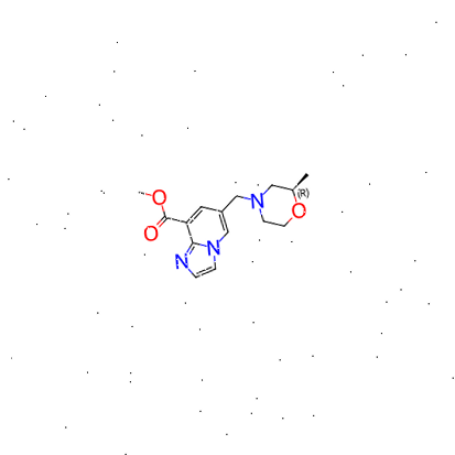 COC(=O)c1cc(CN2CCO[C@H](C)C2)cn2ccnc12